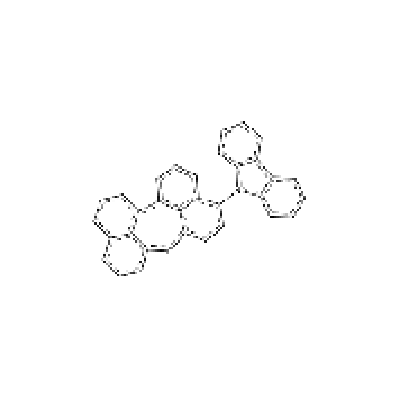 c1cc2cccc3c4cccc5c(-n6c7ccccc7c7ccccc76)ccc(oc(c1)c23)c54